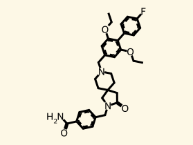 CCOc1cc(CN2CCC3(CC2)CC(=O)N(Cc2ccc(C(N)=O)cc2)C3)cc(OCC)c1-c1ccc(F)cc1